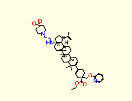 C=C(C)[C@@H]1CC[C@]2(NCCN3CCS(=O)(=O)CC3)CC[C@]3(C)[C@H](CCC4[C@@]5(C)CC=C(C6=CCC(COc7ccccn7)(C(=O)OCC)CC6)C(C)(C)C5CC[C@]43C)C12